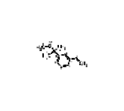 C=Cc1cccc(C(C)(C)OC)c1